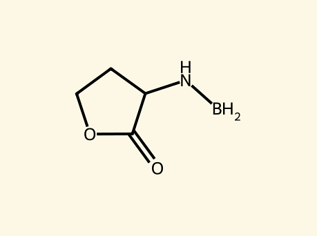 BNC1CCOC1=O